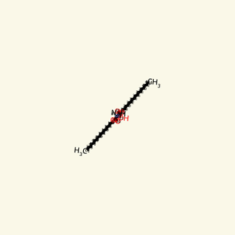 CCCCCCCCCCCCCCCCCCOC(=O)/C=C(\O)C(=O)OCCCCCCCCCCCCCCCCCC.[NaH]